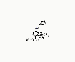 COC(=O)c1ccc(/C=C/Cn2ccnc2)cc1OS(=O)(=O)C(F)(F)F